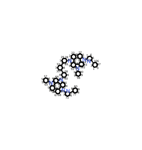 c1ccc(-c2cccc(-n3c4ccccc4c4c5c6c7c8ccccc8n(-c8cccc(-c9cccc(-c%10cccc(-n%11c%12ccc%13c(c%14ccccc%14n%13-c%13ccccc%13)c%12c%12c%13c%14ccccc%14n(-c%14cccc(-c%15ccccc%15)n%14)c%13ccc%12%11)c%10)c9)c8)c7ccc6n(-c6ccccc6)c5ccc43)n2)cc1